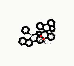 C[Si]1(C)c2ccccc2C2(c3ccccc3-c3cccc4cccc2c34)c2ccc(N(c3ccccc3)c3c(-c4ccccc4)ccc4ccccc34)cc21